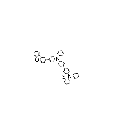 c1ccc(N(c2ccc(-c3ccc4c(c3)Sc3ccccc3N4c3ccccc3)cc2)c2ccc(-c3ccc4oc5ccccc5c4c3)cc2)cc1